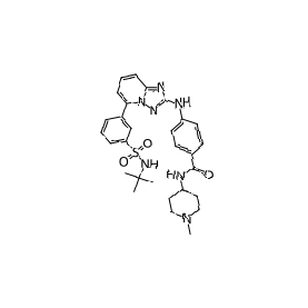 CN1CCC(NC(=O)c2ccc(Nc3nc4cccc(-c5cccc(S(=O)(=O)NC(C)(C)C)c5)n4n3)cc2)CC1